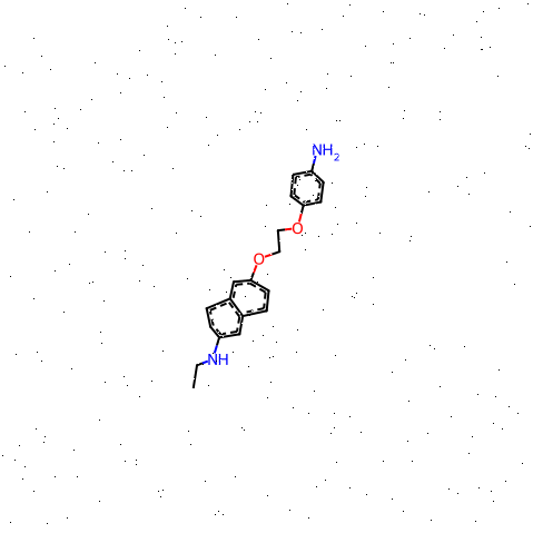 CCNc1ccc2cc(OCCOc3ccc(N)cc3)ccc2c1